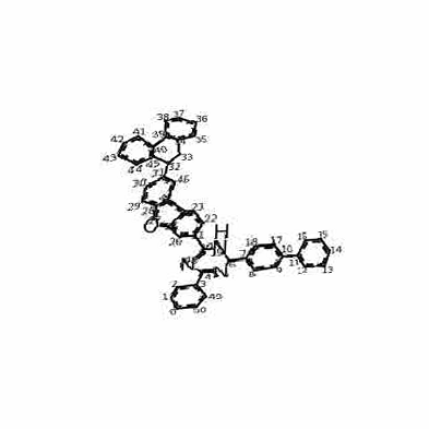 c1ccc(C2=NC(c3ccc(-c4ccccc4)cc3)NC(c3ccc4c(c3)oc3ccc(C5Cc6ccccc6-c6ccccc65)cc34)=N2)cc1